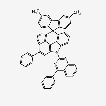 Cc1ccc2c(c1)-c1cc(C)ccc1C21c2cccc3c(-c4ccccc4)cc4c(c23)c2c1cccc2n4-c1nc(-c2ccccc2)c2ccccc2n1